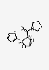 O=C([C@H]1N=CO[C@@H]1c1cccs1)N1CCCC1